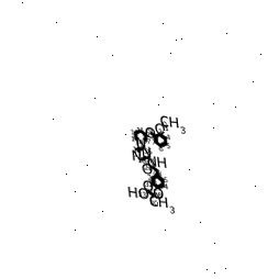 CCOc1ccccc1OC1CCCN(c2cncc(NC(=O)Cc3ccc(OC(C)C(=O)O)cc3)n2)C1